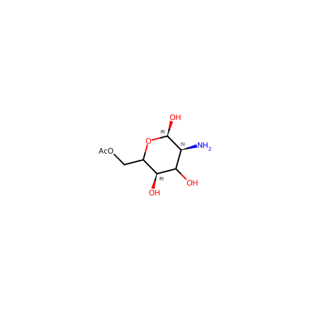 CC(=O)OCC1O[C@@H](O)[C@@H](N)C(O)[C@H]1O